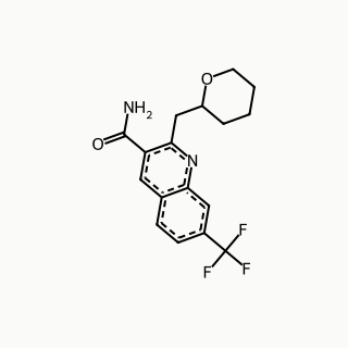 NC(=O)c1cc2ccc(C(F)(F)F)cc2nc1CC1CCCCO1